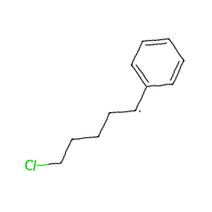 ClCCCC[CH]c1ccccc1